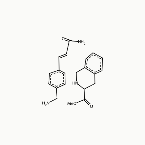 COC(=O)C1Cc2ccccc2CN1.NCc1ccc(C=CC(N)=O)cc1